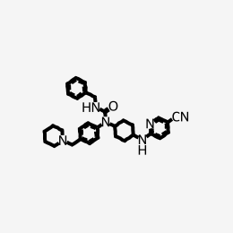 N#Cc1ccc(NC2CCC(N(C(=O)NCc3ccccc3)c3ccc(CN4CCCCC4)cc3)CC2)nc1